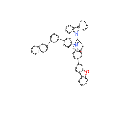 C1=CC2C(n3c4ccccc4c4ccccc43)C2(N(c2ccc(-c3cccc(-c4ccc5ccccc5c4)c3)cc2)c2ccc(-c3ccc4c(c3)oc3ccccc34)cc2)C=C1